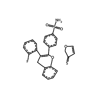 NS(=O)(=O)c1ccc(C2=C(c3ccccc3F)Cc3ccccc3O2)cc1.S=C1C=COC1